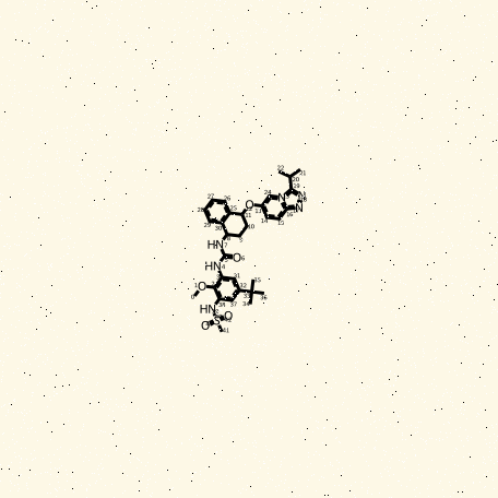 COc1c(NC(=O)NC2CCC(Oc3ccc4nnc(C(C)C)n4c3)c3ccccc32)cc(C(C)(C)C)cc1NS(C)(=O)=O